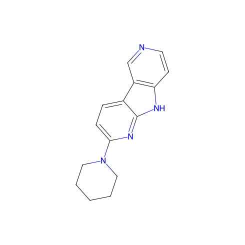 c1cc2[nH]c3nc(N4CCCCC4)ccc3c2cn1